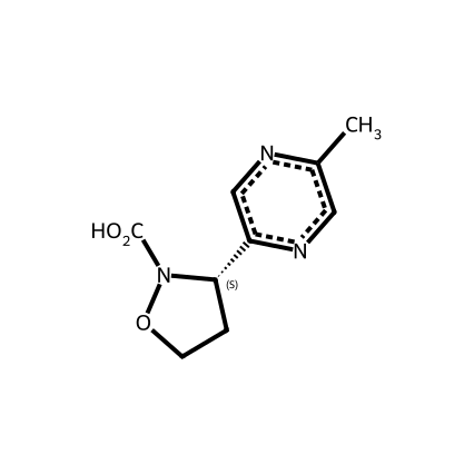 Cc1cnc([C@@H]2CCON2C(=O)O)cn1